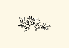 Cc1cc(C2=C(c3ccc(F)cc3)N(OCc3cccc(CO[Si](C)(C)C(C)(C)C)n3)C(N)N=C2)cc(C(F)F)n1